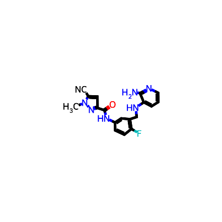 Cn1nc(C(=O)Nc2ccc(F)c(CNc3cccnc3N)c2)cc1C#N